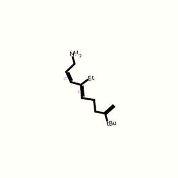 C=C(CC/C=C(/C=C\CN)CC)C(C)(C)C